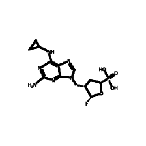 Nc1nc(NC2CC2)c2ncn(C[C@@H]3C[C@@H](P(=O)(O)O)O[C@@H]3F)c2n1